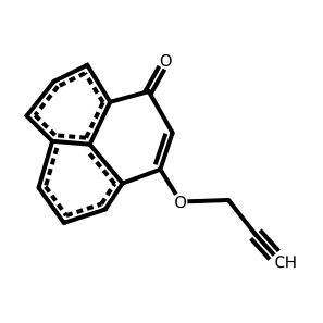 C#CCOC1=CC(=O)c2cccc3cccc1c23